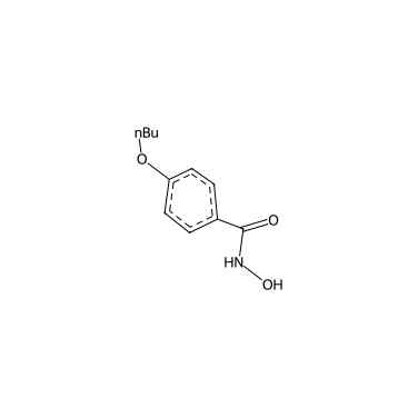 CCCCOc1ccc(C(=O)NO)cc1